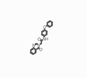 O=C(Cn1cnc2ccccc2c1=O)Nc1ccc(Oc2ccccc2)cc1